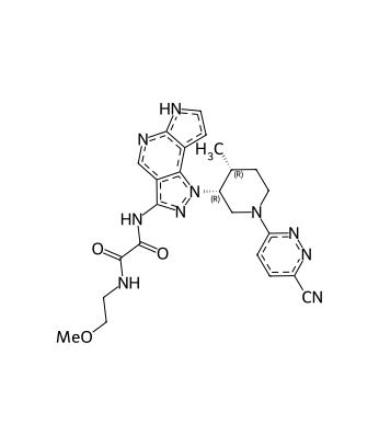 COCCNC(=O)C(=O)Nc1nn([C@H]2CN(c3ccc(C#N)nn3)CC[C@H]2C)c2c1cnc1[nH]ccc12